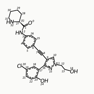 O=C(Nc1ccc(C#Cc2cn(CCO)nc2-c2cc(Cl)ccc2O)cc1)[C@@H]1CCCCN1